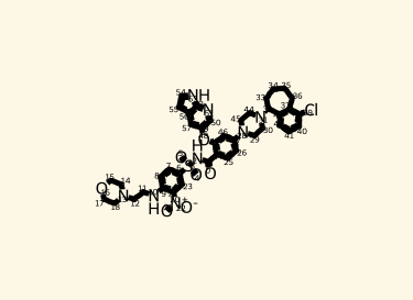 O=C(NS(=O)(=O)c1ccc(NCCN2CCOCC2)c([N+](=O)[O-])c1)c1ccc(N2CCN([C@H]3CCCCc4c(Cl)cccc43)CC2)cc1Oc1cnc2[nH]ccc2c1